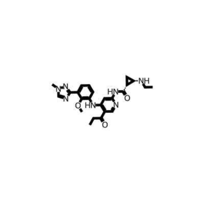 CCN[C@H]1C[C@H]1C(=O)Nc1cc(Nc2cccc(-c3ncn(C)n3)c2OC)c(C(=O)CC)cn1